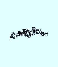 CN1C(=O)[C@@H](NC(=O)n2cc(Cc3cccc(F)c3)cn2)COc2ccc(C(=O)N3CCC(C(C)(C)O)CC3)cc21